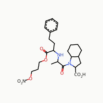 CC(NC(CCc1ccccc1)C(=O)OCCCO[N+](=O)[O-])C(=O)N1C(C(=O)O)CC2CCCCC21